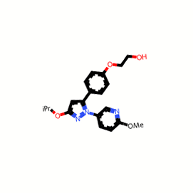 COc1ccc(-n2nc(OC(C)C)cc2-c2ccc(OCCO)cc2)cn1